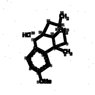 COc1ccc2c(c1)C1(C)CCN(C)CC(C2)C1C.Cl